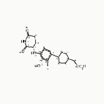 Cl.O=C(O)CN1CCC(c2ccc(N[C@H]3CCC(=O)NC3=O)cc2F)CC1